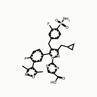 Cc1noc(C)c1-c1cc(-c2c(Cc3ccc(S(N)(=O)=O)c(F)c3)c(CC3CC3)nn2-c2nc(C(=O)O)cs2)ccc1F